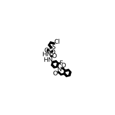 O=C(Nc1ccc(N2C(=O)Cc3ccccc3C2=O)c(F)c1)NS(=O)(=O)c1ccc(Cl)s1